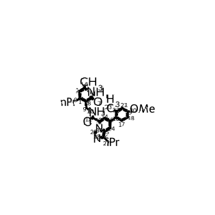 CCCc1cc(C)[nH]c(=O)c1CNC(=O)c1cc(-c2ccc(OC)cc2C)cc2c(C(C)C)ncn12